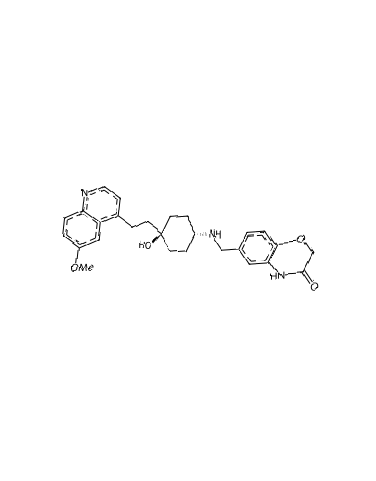 COc1ccc2nccc(CC[C@]3(O)CC[C@H](NCc4ccc5c(c4)NC(=O)CO5)CC3)c2c1